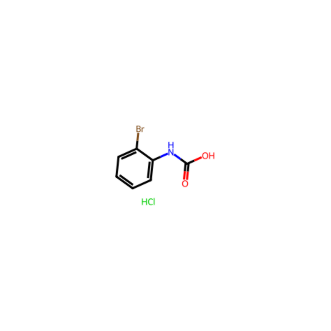 Cl.O=C(O)Nc1ccccc1Br